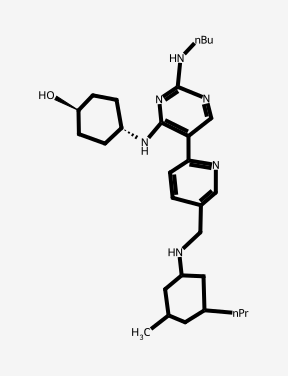 CCCCNc1ncc(-c2ccc(CNC3CC(C)CC(CCC)C3)cn2)c(N[C@H]2CC[C@H](O)CC2)n1